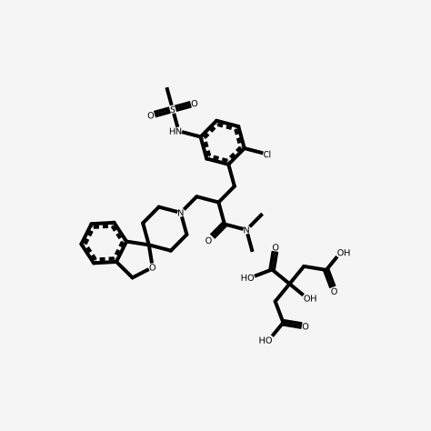 CN(C)C(=O)C(Cc1cc(NS(C)(=O)=O)ccc1Cl)CN1CCC2(CC1)OCc1ccccc12.O=C(O)CC(O)(CC(=O)O)C(=O)O